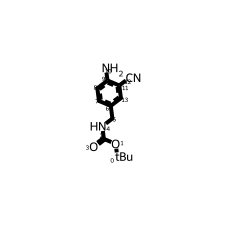 CC(C)(C)OC(=O)NCc1ccc(N)c(C#N)c1